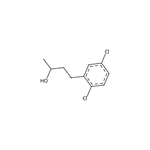 CC(O)C[CH]c1cc(Cl)ccc1Cl